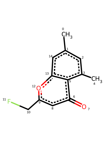 Cc1cc(C)c2c(=O)cc(CF)oc2c1